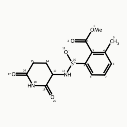 COC(=O)c1c(C)cccc1[S+]([O-])NC1CCC(=O)NC1=O